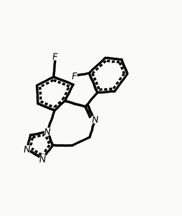 Fc1ccc2c(c1)C(c1ccccc1F)=NCCc1nncn1-2